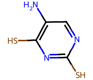 Nc1cnc(S)nc1S